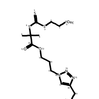 CCCCCCCCCCCCSC(=S)SC(C)(C)C(=O)OCCCn1cc(CN)nn1